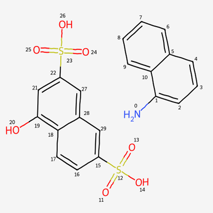 Nc1cccc2ccccc12.O=S(=O)(O)c1ccc2c(O)cc(S(=O)(=O)O)cc2c1